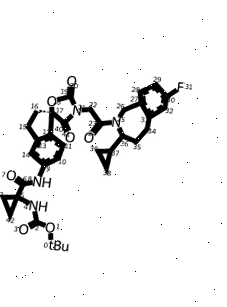 CC(C)(C)OC(=O)NC1(C(=O)Nc2ccc3c(c2)CC[C@@]32OC(=O)N(CC(=O)N3Cc4ccc(F)cc4CCC3C3CC3)C2=O)CC1